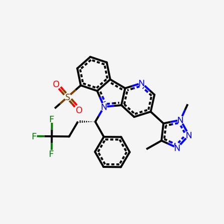 Cc1nnn(C)c1-c1cnc2c3cccc(S(C)(=O)=O)c3n([C@@H](CCC(F)(F)F)c3ccccc3)c2c1